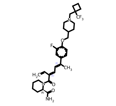 C=C/C(=C\C=C(/C)c1ccc(OCC2CCN(CC3(C(F)(F)F)CCC3)CC2)c(F)c1)C(=O)N1CCCC[C@@H]1C(N)=O